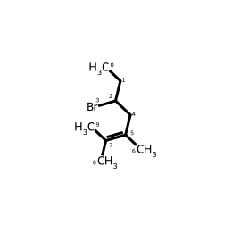 CCC(Br)CC(C)=C(C)C